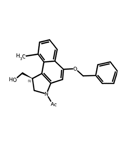 CC(=O)N1C[C@@H](CO)c2c1cc(OCc1ccccc1)c1cccc(C)c21